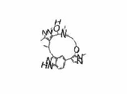 Cc1nn(C)c2c1C(C)Cc1n[nH]c3ccc(cc13)-c1cnn(C)c1OCCCN(C)C2O